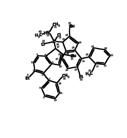 CCc1ccc2c(c1-c1ccccc1C)C=C(C(C)CC)[CH]2[Zr]([Cl])([Cl])([CH]1C(C(C)CC)=Cc2c1ccc(CC)c2-c1ccccc1C)[SiH](C)C